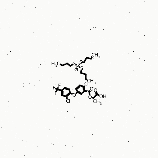 CCCCSP(=O)(SCCCC)SCCCC.C[C@H](OC(=O)c1cc(Oc2ccc(C(F)(F)F)cc2Cl)ccc1Cl)C(=O)O